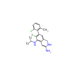 CCC(CC)Nc1c(F)c(-c2c(C)cccc2F)cc2c1C=C(N)NC2